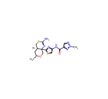 C[C@H]1C[C@H]2CSC(N)=NC2(c2nc(NC(=O)c3cnn(C)n3)cs2)CO1